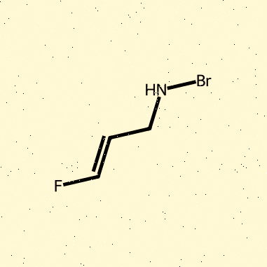 FC=CCNBr